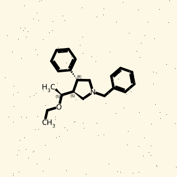 CCO[C@@H](C)[C@@H]1CN(Cc2ccccc2)C[C@H]1c1ccccc1